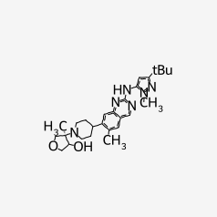 Cc1cc2cnc(Nc3cc(C(C)(C)C)nn3C)nc2cc1C1CCN([C@]2(C)COCC2O)CC1